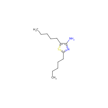 CCCCCc1nc(N)c(CCCCC)s1